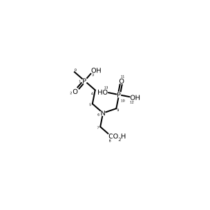 CP(=O)(O)CCN(CC(=O)O)CP(=O)(O)O